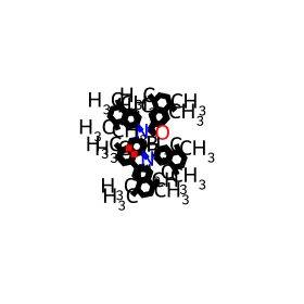 Cc1ccc(-c2cc3c(cc2N2c4cc5c(cc4B4c6oc7cc8c(cc7c6N(c6ccc7c(c6)C(C)(C)CCC7(C)C)c6cc(C)cc2c64)C(C)(C)CCC8(C)C)C(C)(C)CCC5(C)C)C(C)(C)CCC3(C)C)cc1